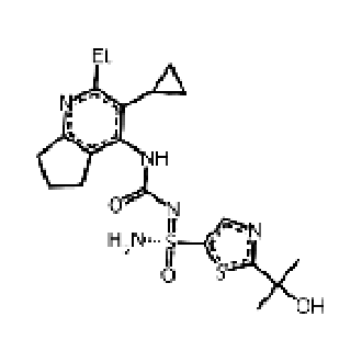 CCc1nc2c(c(NC(=O)N=[S@](N)(=O)c3cnc(C(C)(C)O)s3)c1C1CC1)CCC2